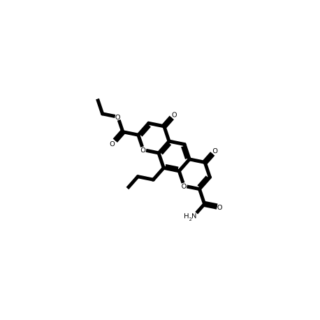 CCCc1c2oc(C(N)=O)cc(=O)c2cc2c(=O)cc(C(=O)OCC)oc12